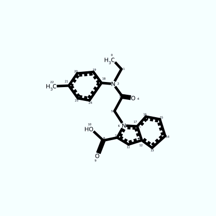 CCN(C(=O)Cn1c(C(=O)O)cc2ccccc21)c1ccc(C)cc1